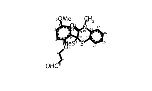 COc1ccc(OCCC=O)c(C2(SC)Sc3ccccc3N(C)C2=O)c1